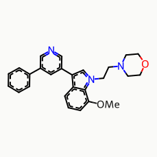 COc1cccc2c(-c3cncc(-c4ccccc4)c3)cn(CCN3CCOCC3)c12